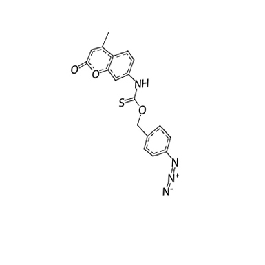 Cc1cc(=O)oc2cc(NC(=S)OCc3ccc(N=[N+]=[N-])cc3)ccc12